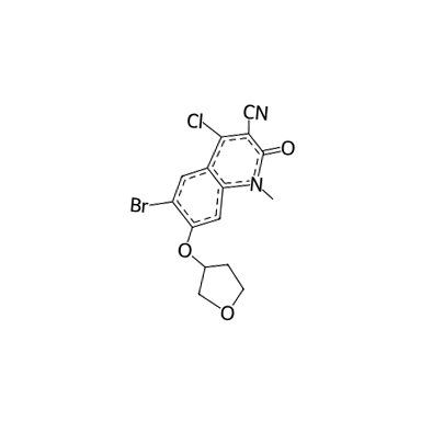 Cn1c(=O)c(C#N)c(Cl)c2cc(Br)c(OC3CCOC3)cc21